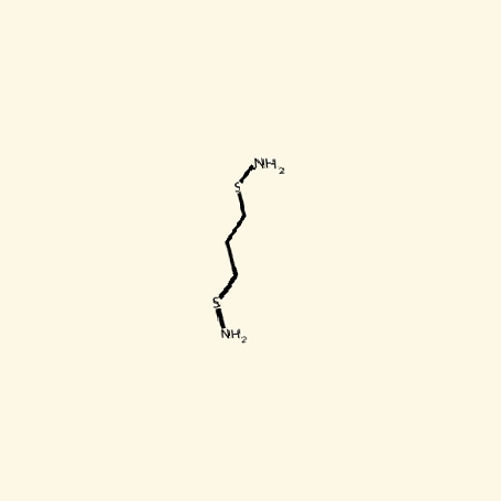 NSCCCSN